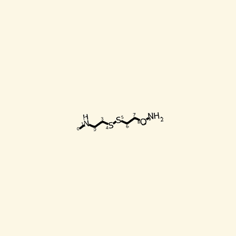 CNCCSSCCON